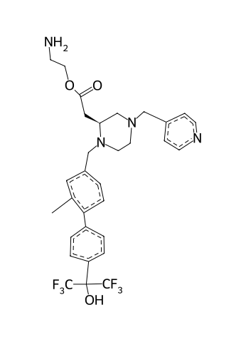 Cc1cc(CN2CCN(Cc3ccncc3)C[C@@H]2CC(=O)OCCN)ccc1-c1ccc(C(O)(C(F)(F)F)C(F)(F)F)cc1